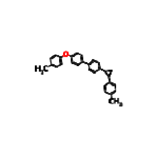 Cc1ccc(Oc2ccc(-c3ccc(C4CC4c4ccc(C)cc4)cc3)cc2)cc1